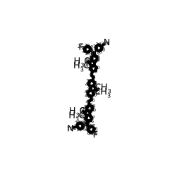 CC1(C)c2cc(/C=C/c3ccc4c(c3)C(C)(C)c3cc(N(c5ccc(F)cc5)c5ccc(C#N)cc5)ccc3-4)ccc2-c2ccc(/C=C/c3ccc4c(c3)C(C)(C)c3cc(N(c5ccc(F)cc5)c5ccc(C#N)cc5)ccc3-4)cc21